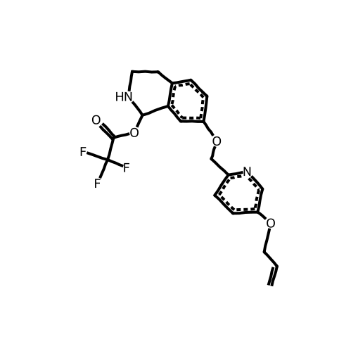 C=CCOc1ccc(COc2ccc3c(c2)C(OC(=O)C(F)(F)F)NCC3)nc1